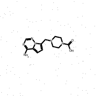 Nc1ncnn2c(CN3CCN(C(=O)O)CC3)ccc12